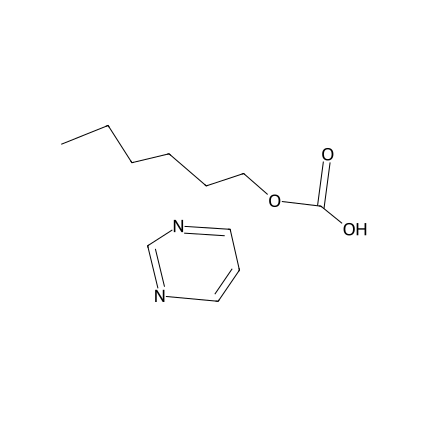 CCCCCCOC(=O)O.c1cncnc1